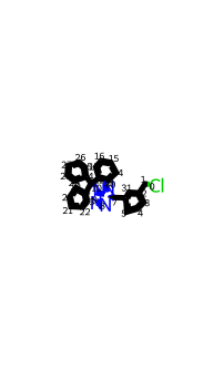 ClCc1cccc(-c2nnn(C(c3ccccc3)(c3ccccc3)c3ccccc3)n2)c1